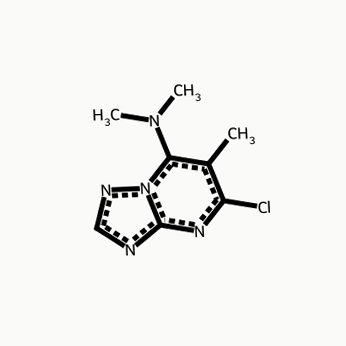 Cc1c(Cl)nc2ncnn2c1N(C)C